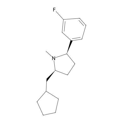 CN1[C@H](CC2CCCC2)CC[C@@H]1c1cccc(F)c1